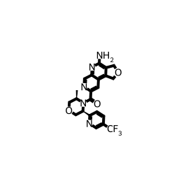 C[C@@H]1COC[C@H](c2ccc(C(F)(F)F)cn2)N1C(=O)c1cc2c3c(c(N)nc2cn1)COC3